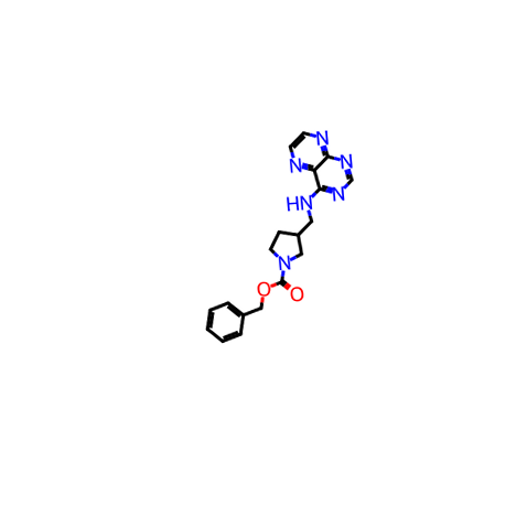 O=C(OCc1ccccc1)N1CCC(CNc2ncnc3nccnc23)C1